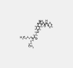 CCCCCN(CCCCC)C(=O)CCCOc1ccc2c(c1)CN(CC(=O)NC1CCCCC1)C(N)=N2